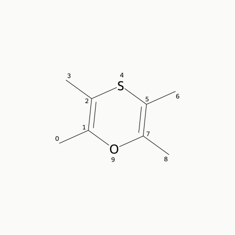 CC1=C(C)SC(C)=C(C)O1